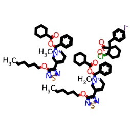 CCCCCCOc1nsnc1C1=CCC[N+](C)(C(OC(=O)C2CCCCC2)c2ccccc2)C1.CCCCCCOc1nsnc1C1=CCC[N+](C)(C(OC(=O)C2CCCCC2)c2ccccc2)C1.O=C([O-])C1(Cc2ccccc2)CCCCC1Cl.[I-]